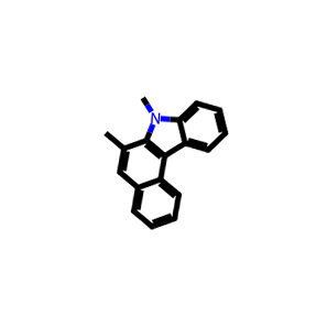 Cc1cc2ccccc2c2c3ccccc3n(C)c12